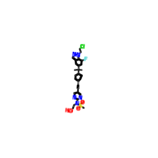 CC(C)(c1ccc(C#Cc2cnc(N(CCO)S(C)(=O)=O)nc2)cc1)c1cc(F)c2c(cnn2CCCl)c1